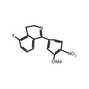 COc1cc(C2=NCCc3c(F)cccc32)ccc1[N+](=O)[O-]